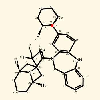 O=C(C1C[C@H]2COC[C@@H](C1)N2CC(F)(F)F)N1Cc2cccnc2Nc2ccc(N3CC4CC[C@@H]3CO4)cc21